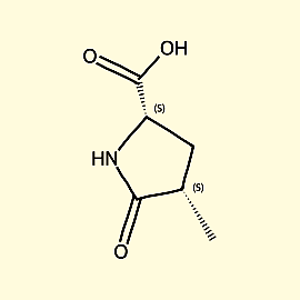 C[C@H]1C[C@@H](C(=O)O)NC1=O